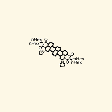 CCCCCCC(CCCCCC)N1C(=O)c2ccc3c4ccc5c6ccc7c8c(c(N9CCCC9)cc(c9ccc(c%10cc(N%11CCCC%11)c(c2c3%10)C1=O)c4c59)c86)C(=O)N(C(CCCCCC)CCCCCC)C7=O